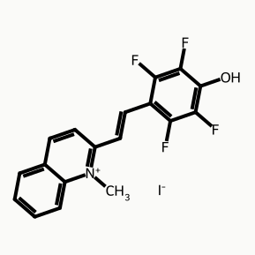 C[n+]1c(/C=C/c2c(F)c(F)c(O)c(F)c2F)ccc2ccccc21.[I-]